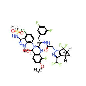 COc1ccc2c(c1F)N=C([C@H](Cc1cc(F)cc(F)c1)NC(=O)Cn1nc(C(F)F)c3c1C(F)(F)[C@@H]1C[C@H]31)N(c1ccc(Cl)c3c(NS(C)(=O)=O)nn(C)c13)C2O